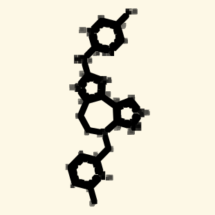 Cc1cccc(CN2CCc3sc(Nc4ncc(F)cn4)nc3-c3cn[nH]c32)n1